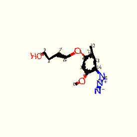 COc1cc(OCCCCO)c(C)cc1N=[N+]=[N-]